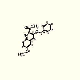 COc1ccc2nc(C(C)=O)c(OCc3ccccc3)cc2c1